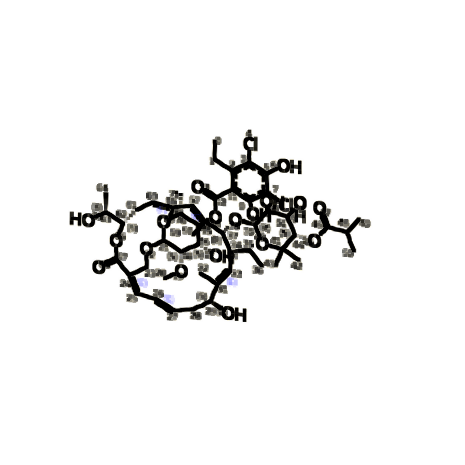 CCc1c(Cl)c(O)c(Cl)c(O)c1C(=O)O[C@H]1[C@H](O)[C@H](OC)C(OC/C2=C\C=C\C[C@H](O)/C(C)=C/[C@H](CC)[C@@H](O[C@@H]3OC(C)(C)[C@@H](OC(=O)C(C)C)[C@H](O)[C@@H]3O)/C(C)=C/C(C)=C/C[C@@H]([C@H](C)O)OC2=O)O[C@@H]1C